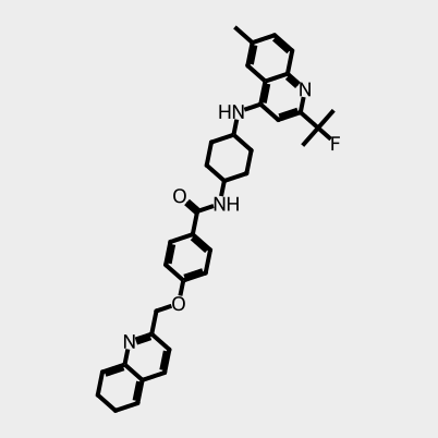 Cc1ccc2nc(C(C)(C)F)cc(NC3CCC(NC(=O)c4ccc(OCc5ccc6c(n5)=CCCC=6)cc4)CC3)c2c1